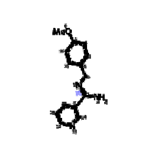 COc1ccc(C/N=C(\N)c2cccnc2)cc1